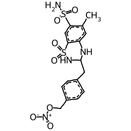 Cc1cc2c(cc1S(N)(=O)=O)S(=O)(=O)NC(Cc1ccc(CO[N+](=O)[O-])cc1)N2